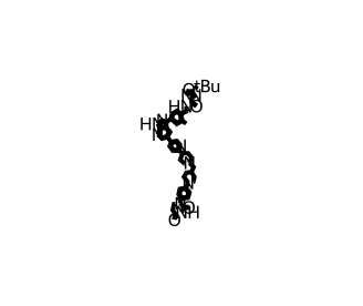 Cc1cc(-c2n[nH]c3ncc(-c4ccc(C5CCN(CC6CCN(c7ccc(N8CCC(=O)NC8=O)cc7)CC6)CC5)nc4)cc23)ccc1CNC(=O)c1noc(C(C)(C)C)n1